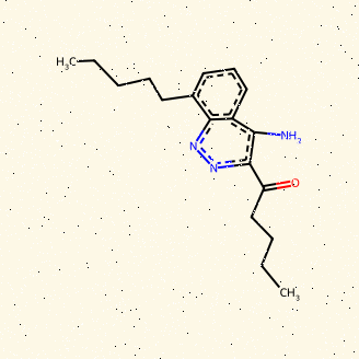 CCCCCc1cccc2c(N)c(C(=O)CCCC)nnc12